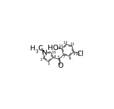 Cn1ccc(C(=O)c2cc(Cl)ccc2O)c1